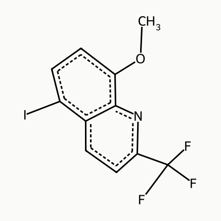 COc1ccc(I)c2ccc(C(F)(F)F)nc12